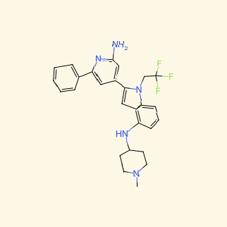 CN1CCC(Nc2cccc3c2cc(-c2cc(N)nc(-c4ccccc4)c2)n3CC(F)(F)F)CC1